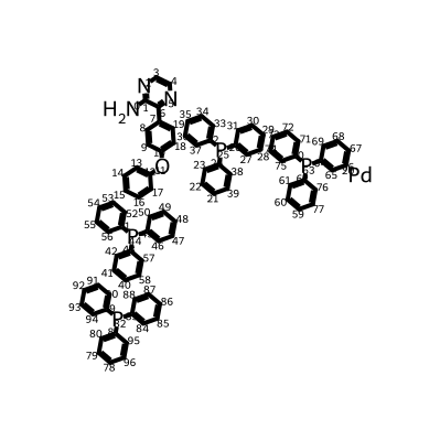 Nc1nccnc1-c1ccc(Oc2ccccc2)cc1.[Pd].c1ccc(P(c2ccccc2)c2ccccc2)cc1.c1ccc(P(c2ccccc2)c2ccccc2)cc1.c1ccc(P(c2ccccc2)c2ccccc2)cc1.c1ccc(P(c2ccccc2)c2ccccc2)cc1